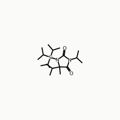 CC(C)N1C(=O)N([Si](C(C)C)(C(C)C)C(C)C)C(C)(C(C)C)C1=O